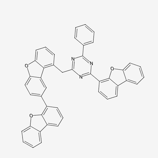 c1ccc(-c2nc(Cc3cccc4oc5ccc(-c6cccc7c6oc6ccccc67)cc5c34)nc(-c3cccc4c3oc3ccccc34)n2)cc1